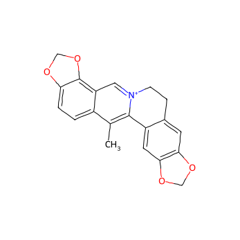 Cc1c2[n+](cc3c4c(ccc13)OCO4)CCc1cc3c(cc1-2)OCO3